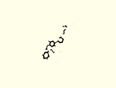 COCCn1c(Cc2cc(F)c(-c3cccc(OCc4nnc(OC)s4)n3)cc2Cl)nc2c(F)cc(C(=O)O)cc21